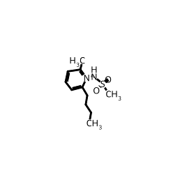 CCCCc1cccc(C)[n+]1NS(C)(=O)=O